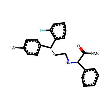 CNC(=O)[C@H](NCC[C@H](c1ccc(C(F)(F)F)cc1)c1ccccc1F)c1ccccc1